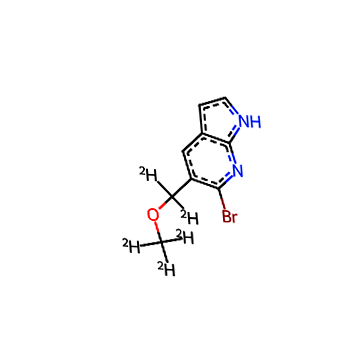 [2H]C([2H])([2H])OC([2H])([2H])c1cc2cc[nH]c2nc1Br